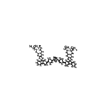 CCCCCCCCC1(CCCCCCCC)c2ccccc2-c2ccc(-c3ccc(-c4nnc(-c5ccc(-c6ccc7c(c6)C(CCCCCCCC)(CCCCCCCC)c6ccccc6-7)cc5)o4)cc3)cc21